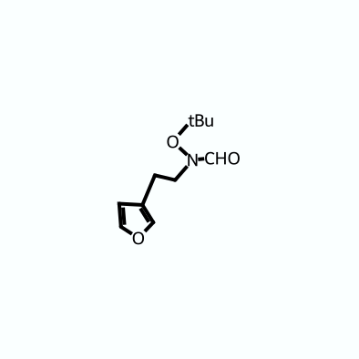 CC(C)(C)ON(C=O)CCc1ccoc1